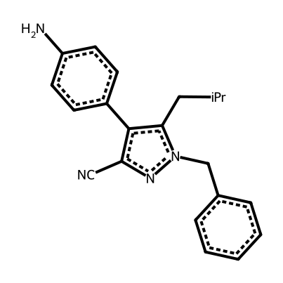 CC(C)Cc1c(-c2ccc(N)cc2)c(C#N)nn1Cc1ccccc1